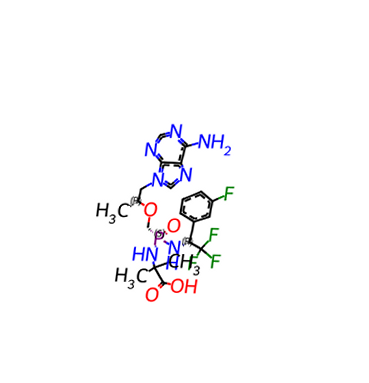 C[C@H](Cn1cnc2c(N)ncnc21)OC[P@](=O)(N[C@H](c1cccc(F)c1)C(F)(F)F)NC(C)(C)C(=O)O